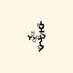 Cc1ccc(C(C)(C)N2CCC(CCc3ccc(C)s3)(COC(=O)NC(C)C)C2)cn1